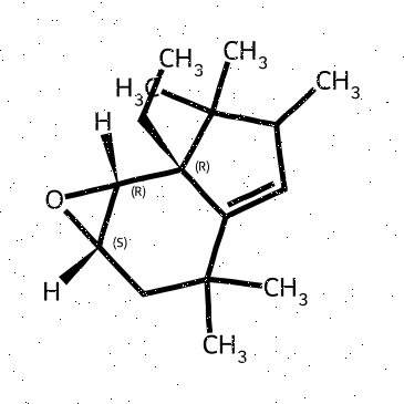 CC[C@]12C(=CC(C)C1(C)C)C(C)(C)C[C@@H]1O[C@@H]12